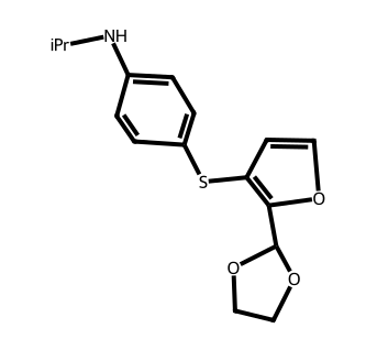 CC(C)Nc1ccc(Sc2ccoc2C2OCCO2)cc1